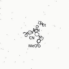 C=CC(=O)N1CCN(c2nc(OC[C@@H]3CCCN3CC)nc3c2CCC(N2CCCc4cc(C(=O)OC)ccc42)C3)C[C@@H]1CC#N